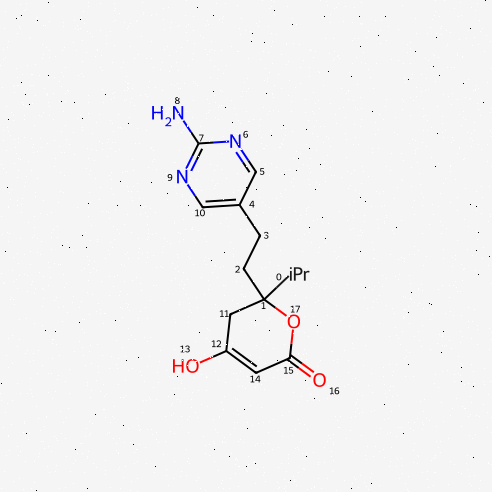 CC(C)C1(CCc2cnc(N)nc2)CC(O)=CC(=O)O1